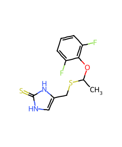 CC(Oc1c(F)cccc1F)SCc1c[nH]c(=S)[nH]1